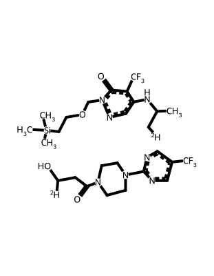 [2H]C(O)CC(=O)N1CCN(c2ncc(C(F)(F)F)cn2)CC1.[2H]CC(C)Nc1cnn(COCC[Si](C)(C)C)c(=O)c1C(F)(F)F